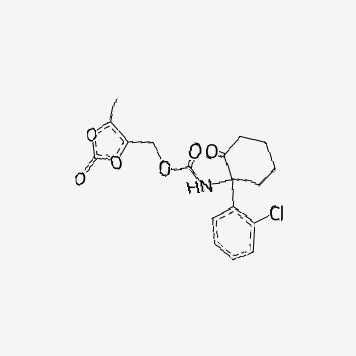 Cc1oc(=O)oc1COC(=O)NC1(c2ccccc2Cl)CCCCC1=O